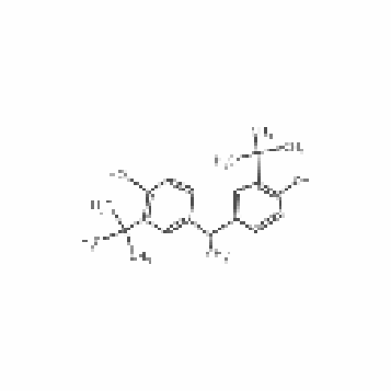 [CH2]C(c1ccc(O)c(C(C)(C)C)c1)c1ccc(O)c(C(C)(C)C)c1